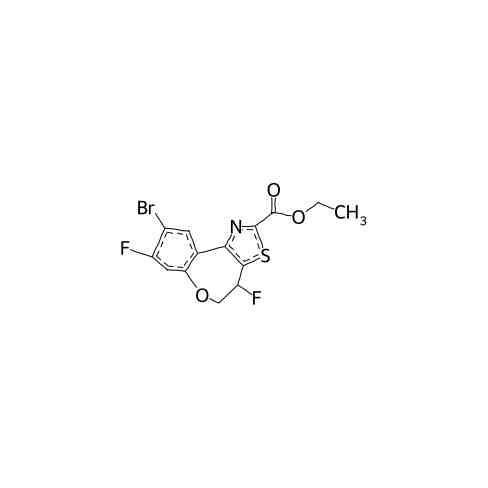 CCOC(=O)c1nc2c(s1)C(F)COc1cc(F)c(Br)cc1-2